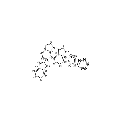 C1=Cc2ccccc2C1.C1=Cc2ccccc2C1.C1=Cc2ccccc2C1.c1ccsc1.n1nnnnn1